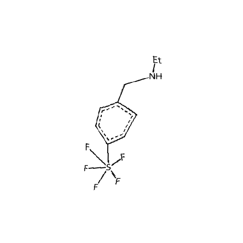 CCNCc1ccc(S(F)(F)(F)(F)F)cc1